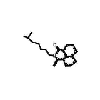 C=c1c2cccc3cccc(c(=O)n1CCCCCC(C)C)c32